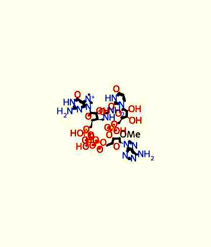 CO[C@@H]1[C@H](OP(=O)(O)OC[C@H]2O[C@@H](n3ccc(=O)[nH]c3=O)[C@H](O)[C@@H]2O)C(COP(=O)(O)OP(=O)(O)OP(=O)(O)OC[C@H]2O[C@@H](n3c[n+](C)c4c(=O)[nH]c(N)nc43)[C@H](O)[C@@H]2CNC(N)=O)O[C@H]1n1cnc2c(N)ncnc21